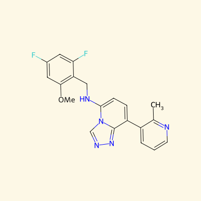 COc1cc(F)cc(F)c1CNc1ccc(-c2cccnc2C)c2nncn12